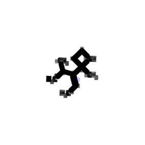 C/C=C(\C(C)C)C1(C)CCN1